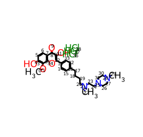 COc1c(O)ccc2c(=O)c(O)c(-c3ccc(CCCCN(C)CCN4CCN(C)CC4)cc3)oc12.Cl.Cl.Cl